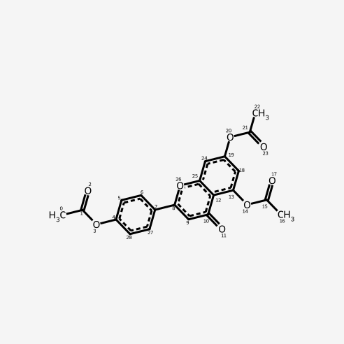 CC(=O)Oc1ccc(-c2cc(=O)c3c(OC(C)=O)cc(OC(C)=O)cc3o2)cc1